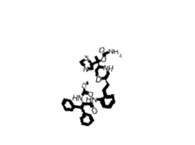 COC(=O)N[C@H](C(=O)Nc1ccccc1CC[C@@H]1CN[C@H](C(C)(OC(N)=O)c2cncs2)CO1)C(c1ccccc1)c1ccccc1